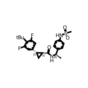 C[C@@H](NC(=O)[C@H]1C[C@@H]1c1cc(F)c(C(C)(C)C)c(F)c1)c1ccc(NS(C)(=O)=O)cc1